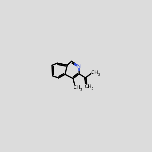 C=C(C)c1ncc2ccccc2c1C